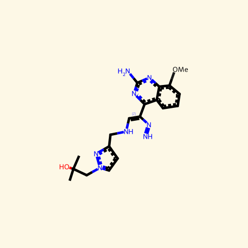 COc1cccc2c(/C(=C/NCc3ccn(CC(C)(C)O)n3)N=N)nc(N)nc12